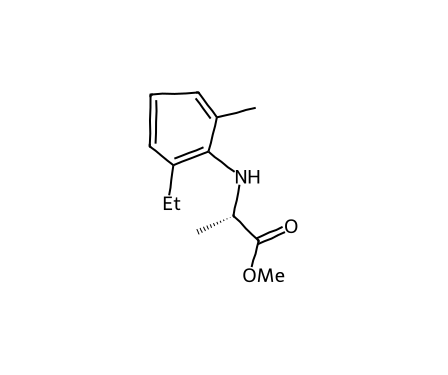 CCc1cccc(C)c1N[C@@H](C)C(=O)OC